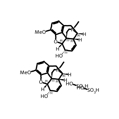 COc1ccc2c3c1O[C@H]1[C@@H](O)C=C[C@H]4[C@@H](C2)N(C)CC[C@@]341.COc1ccc2c3c1O[C@H]1[C@@H](O)C=C[C@H]4[C@@H](C2)N(C)CC[C@@]341.O=S(=O)(O)O.O=S(=O)(O)O